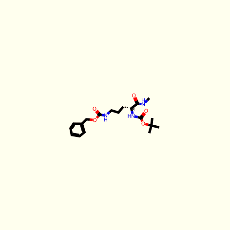 CNC(=O)[C@@H](CCCNC(=O)OCc1ccccc1)NC(=O)OC(C)(C)C